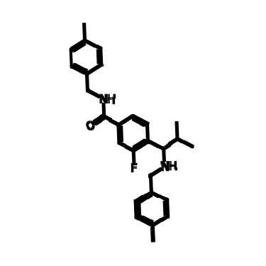 CC1=C=C=C(CNC(c2ccc(C(=O)NCc3ccc(C)cc3)cc2F)C(C)C)C=C1